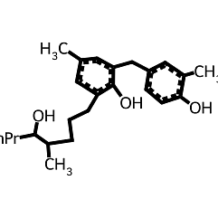 CCCC(O)C(C)CCCc1cc(C)cc(Cc2ccc(O)c(C)c2)c1O